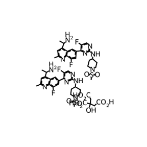 Cc1cc(C(C)N)c2cc(-c3nc(NC4CCN(S(C)(=O)=O)CC4)ncc3F)cc(F)c2n1.Cc1cc(C(C)N)c2cc(-c3nc(NC4CCN(S(C)(=O)=O)CC4)ncc3F)cc(F)c2n1.O=C(O)CC(O)(CC(=O)O)C(=O)O